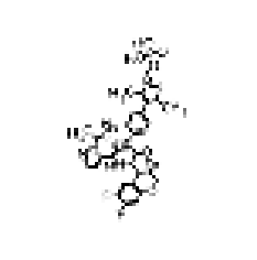 Cc1nn(COP(=O)(O)O)c(C)c1-c1ccc(NC(=O)[C@@H](NC(=O)c2ccnn2C(C)C)C2c3cc(F)c(F)cc3OCC23CC3)cc1